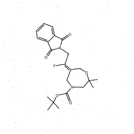 CC(C)(C)OC(=O)N1C/C(=C(\F)CN2C(=O)c3ccccc3C2=O)COC(C)(C)C1